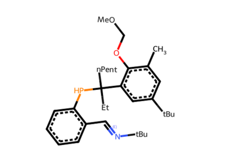 CCCCCC(CC)(Pc1ccccc1/C=N/C(C)(C)C)c1cc(C(C)(C)C)cc(C)c1OCOC